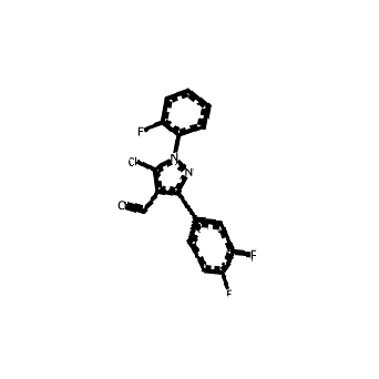 O=Cc1c(-c2ccc(F)c(F)c2)nn(-c2ccccc2F)c1Cl